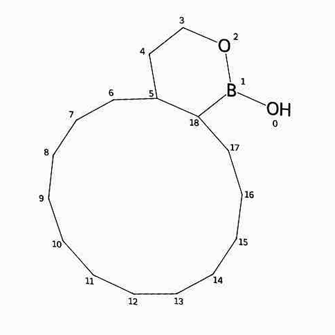 OB1OCCC2CCCCCCCCCCCCC12